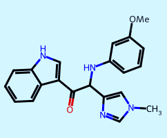 COc1cccc(NC(C(=O)c2c[nH]c3ccccc23)c2cn(C)cn2)c1